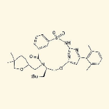 Cc1cccc(C)c1-c1cc2nc(n1)NS(=O)(=O)c1cccc(c1)C(=O)N(CC1CCC(C)(C)CO1)[C@H](CC(C)(C)C)CO2